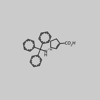 O=C(O)C1=C[C@H](NC(c2ccccc2)(c2ccccc2)c2ccccc2)CC1